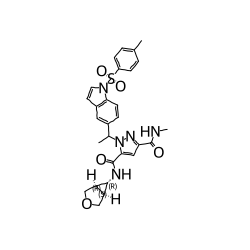 CNC(=O)c1cc(C(=O)N[C@H]2[C@@H]3COC[C@@H]32)n(C(C)c2ccc3c(ccn3S(=O)(=O)c3ccc(C)cc3)c2)n1